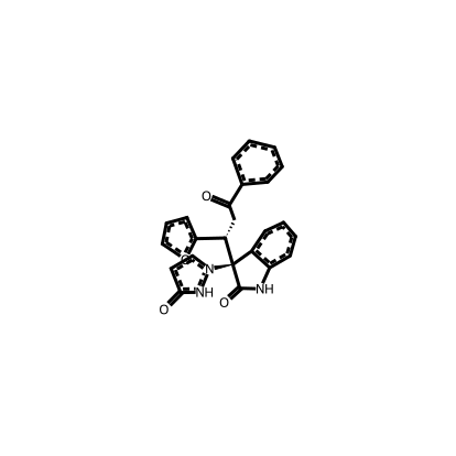 O=C(C[C@@H](c1ccco1)[C@@]1(n2ccc(=O)[nH]2)C(=O)Nc2ccccc21)c1ccccc1